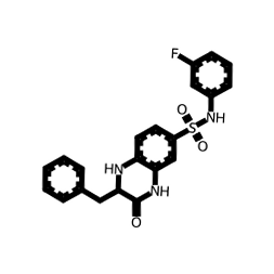 O=C1Nc2cc(S(=O)(=O)Nc3cccc(F)c3)ccc2NC1Cc1ccccc1